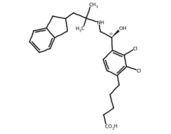 CC(C)(CC1Cc2ccccc2C1)NC[C@@H](O)c1ccc(CCCCC(=O)O)c(Cl)c1Cl